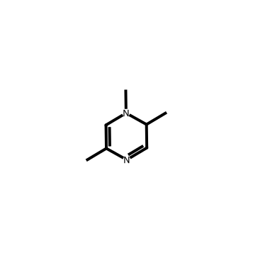 CC1=CN(C)C(C)C=N1